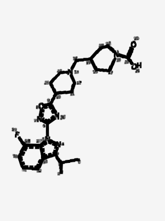 CC(C)c1nn(-c2noc(C3CCN(CC4CCN(C(=O)O)CC4)CC3)n2)c2c(F)cccc12